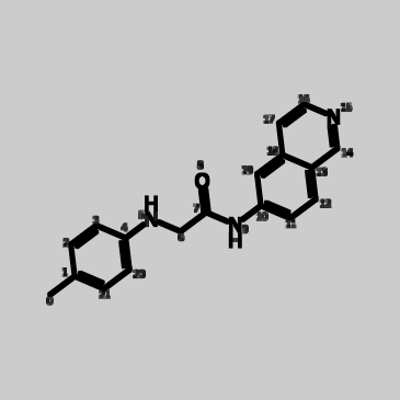 Cc1ccc(NCC(=O)Nc2ccc3cnccc3c2)cc1